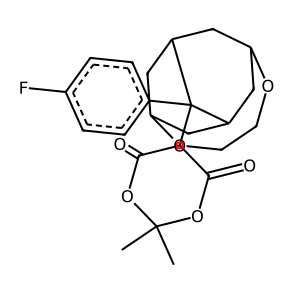 CC1(C)OC(=O)C(C2(c3ccc(F)cc3)C3CC4CC2CC(C3)OCCO4)C(=O)O1